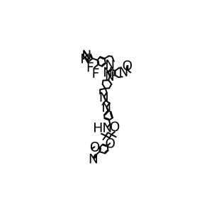 COc1cc(OC2C(C)(C)C(NC(=O)c3ccc(N4CC(N5CCC6(CCC(n7nc(N8CCCc9cc(-c%10cnn(C)c%10)c(C(F)F)cc98)c8c7CCN(C(C)=O)C8)CC6)C5)C4)cc3)C2(C)C)ccc1C#N